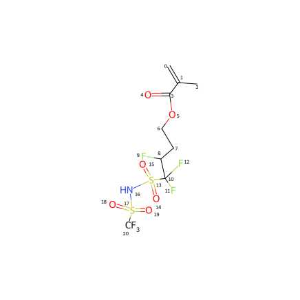 C=C(C)C(=O)OCCC(F)C(F)(F)S(=O)(=O)NS(=O)(=O)C(F)(F)F